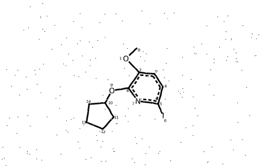 COc1ccc(I)nc1OC1CCCC1